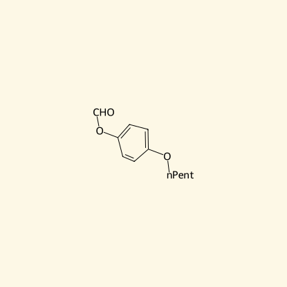 CCCCCOc1ccc(OC=O)cc1